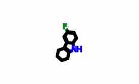 FC1=CCC2NC3=C(CCCC3)C2=C1